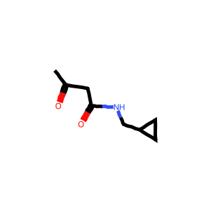 CC(=O)CC(=O)NCC1CC1